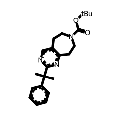 CC(C)(C)OC(=O)N1CCc2cnc(C(C)(C)c3ccccc3)nc2CC1